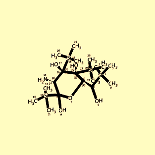 C[Si](C)(C)C(O)[C@H]1OC(O)([Si](C)(C)C)[C@H](N)[C@](O)([Si](C)(C)C)[C@@]1(O)[Si](C)(C)C